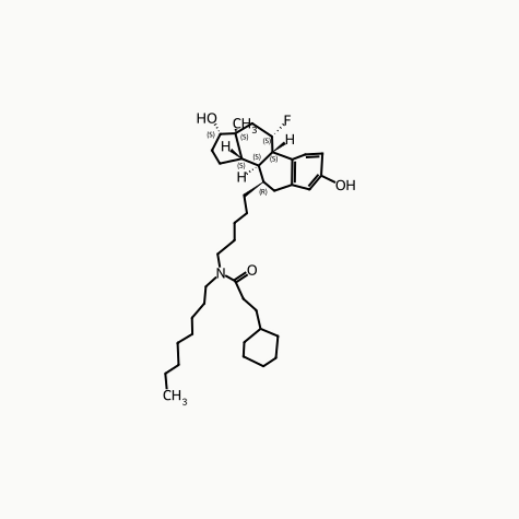 CCCCCCCCN(CCCCC[C@@H]1Cc2cc(O)ccc2[C@@H]2[C@@H]1[C@@H]1CC[C@H](O)[C@@]1(C)C[C@@H]2F)C(=O)CCC1CCCCC1